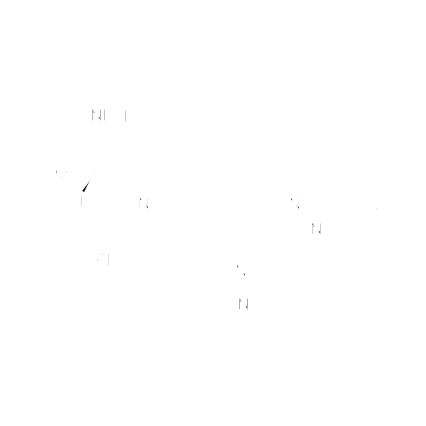 Clc1cc2cnn(-c3cnn(C4CC4)c3)c2cc1N1CC[C@@H]2NCCO[C@H]2C1